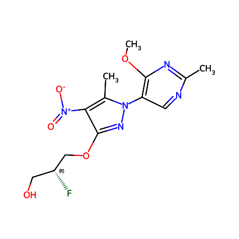 COc1nc(C)ncc1-n1nc(OC[C@H](F)CO)c([N+](=O)[O-])c1C